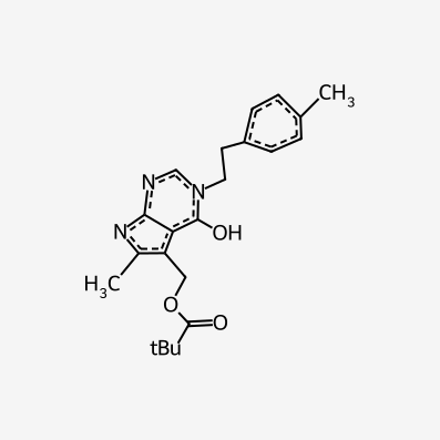 Cc1ccc(CCn2cnc3nc(C)c(COC(=O)C(C)(C)C)c-3c2O)cc1